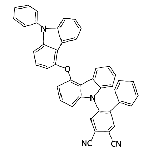 N#Cc1cc(-c2ccccc2)c(-n2c3ccccc3c3c(Oc4cccc5c4c4ccccc4n5-c4ccccc4)cccc32)cc1C#N